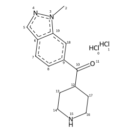 Cl.Cl.Cn1ncc2ccc(C(=O)C3CCNCC3)cc21